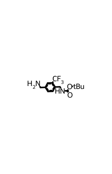 CC(C)(C)OC(=O)NCc1ccc(CN)cc1C(F)(F)F